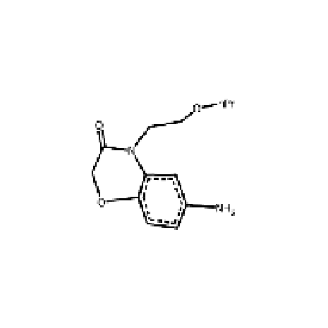 CCCOCCN1C(=O)COc2ccc(N)cc21